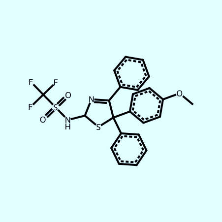 COc1ccc(C2(c3ccccc3)SC(NS(=O)(=O)C(F)(F)F)N=C2c2ccccc2)cc1